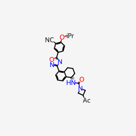 CC(=O)C1CN(C(=O)N[C@H]2CCCc3c(-c4noc(-c5ccc(OC(C)C)c(C#N)c5)n4)cccc32)C1